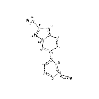 COc1cccc(-c2ccc3nc(N)nn3c2)c1